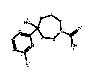 O=C(O)N1CCCC(O)(c2cccc(Br)n2)CC1